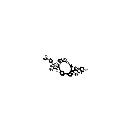 C=CC(=O)N1CC[C@H](C(=O)N(C)[C@H](C(=O)N[C@H]2Cc3cccc(c3)-c3ccc4c(c3)c(c(-c3cnn5c3[C@H](C)OC3CNCCC35)n4CC)CC(C)(C)COC(=O)[C@@H]3CCCN(N3)C2=O)C(C)C)C1